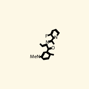 C/C=C(\N=C(/C)c1ncccc1F)C(=O)c1cc(NC)ccc1C